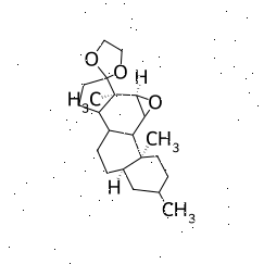 CC1CC[C@]2(C)C3C(CC[C@@H]2C1)C1CCC2(OCCO2)[C@@]1(C)[C@H]1OC31